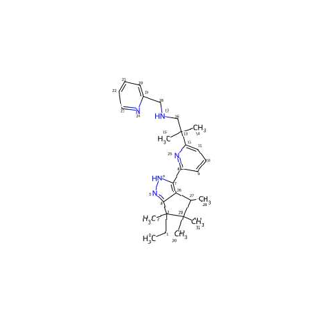 CCC1(C)c2n[nH]c(-c3cccc(C(C)(C)CNCc4ccccn4)n3)c2C(C)C1(C)C